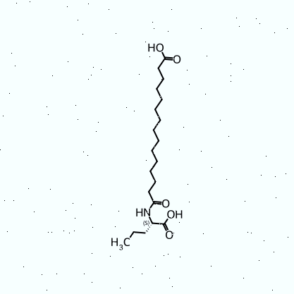 CCC[C@H](NC(=O)CCCCCCCCCCCCCC(=O)O)C(=O)O